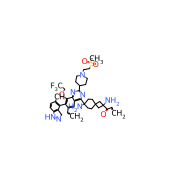 C=CC(=O)C1(N)CC2(CCC(N)(c3nc(C4CCN(CCS(C)(=O)=O)CC4)nc4c(OCC(F)(F)F)c(-c5c(C)ccc6[nH]ncc56)c(C=C)cc34)CC2)C1